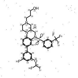 O=S(=O)(c1cccc(C(F)(F)F)c1)N1C[C@@H]2CN(CCCO)CCN2c2ccc(-c3cc(F)cc(OC(F)F)c3)cc21